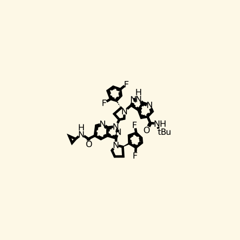 CC(C)(C)NC(=O)c1cnc2[nH]nc(N3CC(n4nc(N5CCC[C@@H]5c5cc(F)ccc5F)c5cc(C(=O)NC6CC6)cnc54)C[C@@H]3c3cc(F)ccc3F)c2c1